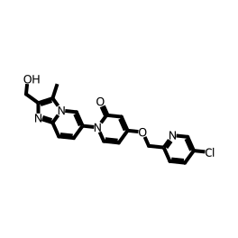 Cc1c(CO)nc2ccc(-n3ccc(OCc4ccc(Cl)cn4)cc3=O)cn12